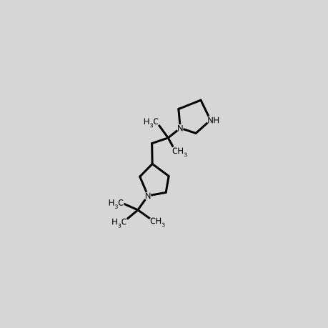 CC(C)(C)N1CCC(CC(C)(C)N2CCNC2)C1